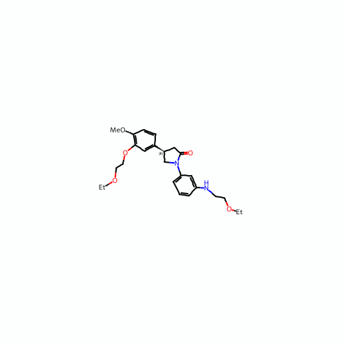 CCOCCNc1cccc(N2C[C@@H](c3ccc(OC)c(OCCOCC)c3)CC2=O)c1